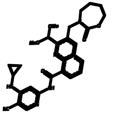 COC(OC)c1nc2c(C(=O)Nc3cc(NC4CC4)c(C#N)cn3)cccc2cc1CN1CCCCOC1=O